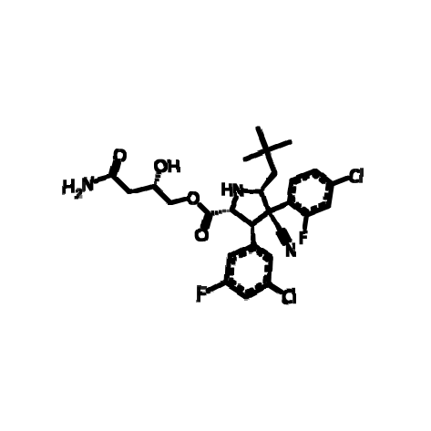 CC(C)(C)C[C@@H]1N[C@@H](C(=O)OC[C@@H](O)CC(N)=O)[C@H](c2cc(F)cc(Cl)c2)[C@@]1(C#N)c1ccc(Cl)cc1F